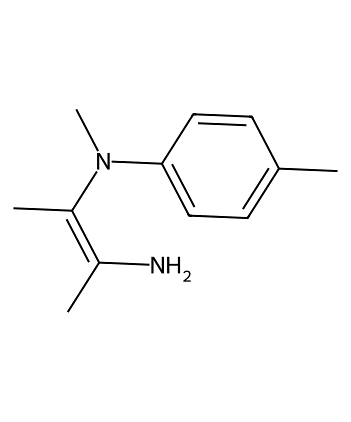 CC(N)=C(C)N(C)c1ccc(C)cc1